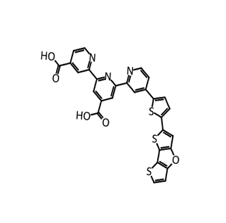 O=C(O)c1ccnc(-c2cc(C(=O)O)cc(-c3cc(-c4ccc(-c5cc6oc7ccsc7c6s5)s4)ccn3)n2)c1